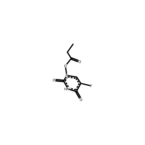 CCC(=O)On1cc(F)c(=O)[nH]c1=O